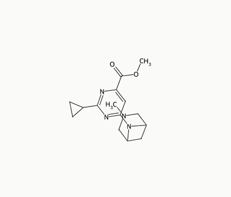 COC(=O)c1cc(N2C3CC2CN(C)C3)nc(C2CC2)n1